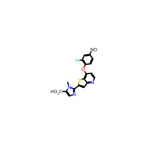 Cn1c(C(=O)O)cnc1-c1cc2nccc(Oc3ccc(N=O)cc3F)c2s1